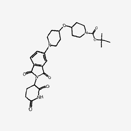 CC(C)(C)OC(=O)N1CCC(OC2CCN(c3ccc4c(c3)C(=O)N(C3CCC(=O)NC3=O)C4=O)CC2)CC1